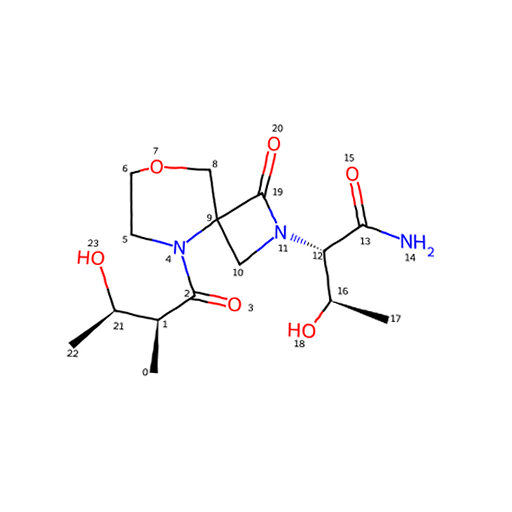 C[C@H](C(=O)N1CCOCC12CN([C@H](C(N)=O)[C@@H](C)O)C2=O)[C@@H](C)O